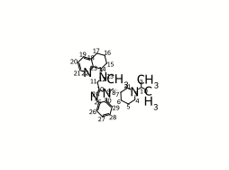 CC(C)N1CCC[C@H](Cn2c(CN(C)[C@@H]3CCCc4cccnc43)nc3ccccc32)C1